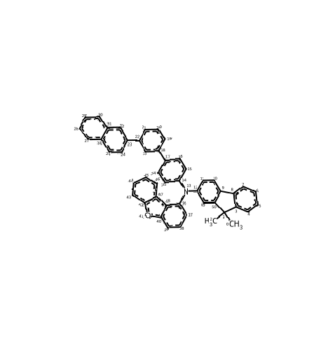 CC1(C)c2ccccc2-c2ccc(N(c3ccc(-c4cccc(-c5ccc6ccccc6c5)c4)cc3)c3cccc4oc5ccccc5c34)cc21